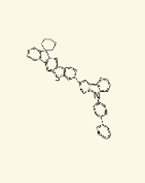 c1ccc(-c2ccc(-n3c4ccccc4c4cc(-c5ccc6c(c5)sc5cc7c(cc56)C5(CCCCC5)c5ccccc5-7)ccc43)cc2)cc1